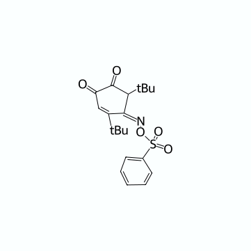 CC(C)(C)C1=CC(=O)C(=O)C(C(C)(C)C)C1=NOS(=O)(=O)c1ccccc1